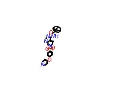 O=C(NC1=NC=NC2CN(S(=O)(=O)c3ccc(Oc4ccncc4)cc3)CC=C12)C12CC3CC(CC(C3)C1)C2